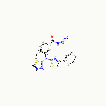 Cc1nnc(N(c2nc(-c3ccccc3)cs2)c2cc(C(=O)N=[N+]=[N-])ccc2C)s1